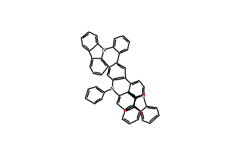 c1ccc(-c2cccc(-c3cc(-c4ccccc4-n4c5ccccc5c5ccccc54)ccc3N(c3ccccc3)c3ccc4c(c3)oc3ccccc34)c2)cc1